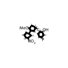 COc1ccc(Cc2ccc(F)cc2O)cc1-c1cccc([N+](=O)[O-])c1